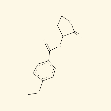 COc1ccc(C(=O)NC2CCOC2=O)cc1